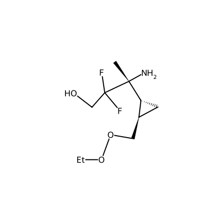 CCOOC[C@@H]1C[C@H]1[C@@](C)(N)C(F)(F)CO